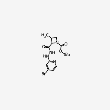 CC1CN(C(=O)OC(C)(C)C)C1C(=O)NNc1cc(Br)ccn1